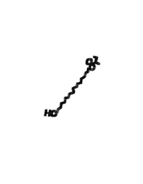 CC=C(C)C(=O)OCCCCCCCCCCCCCCCCCCO